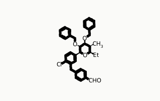 CC[C@H]1O[C@@H](c2ccc(Cl)c(Cc3ccc(C=O)cc3)c2)[C@H](OCc2ccccc2)[C@@H](OCc2ccccc2)[C@@H]1C